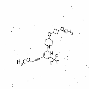 COCC#Cc1cc(N2CCC(OC3CC(OC)C3)CC2)nc(C(F)(F)F)c1